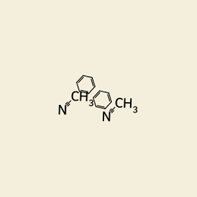 CC#N.CC#N.c1ccccc1.c1ccccc1